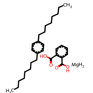 CCCCCCCCc1ccc(CCCCCCCC)cc1.O=C(O)c1ccccc1C(=O)O.[MgH2]